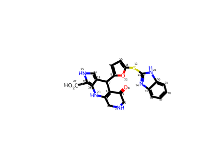 O=C1CNCC2=C1C(c1ccc(Sc3nc4ccccc4[nH]3)o1)c1c[nH]c(C(=O)O)c1N2